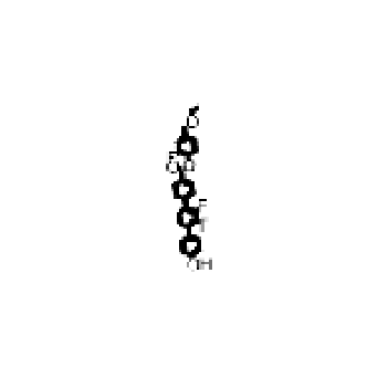 CCOCc1ccc(OC(=O)c2ccc(-c3ccc(-c4ccc(O)cc4)c(F)c3F)cc2)c(F)c1